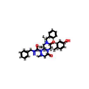 C[C@H](c1ccccc1)N1C[C@H]2N(C(=O)CN(C)N2C(=O)NCc2ccccc2)[C@@H](Cc2ccc(O)cc2)C1=O